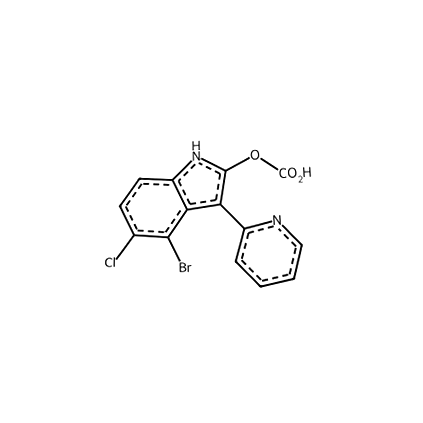 O=C(O)Oc1[nH]c2ccc(Cl)c(Br)c2c1-c1ccccn1